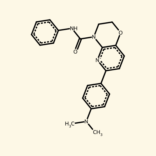 CN(C)c1ccc(-c2ccc3c(n2)N(C(=O)Nc2ccccc2)CCO3)cc1